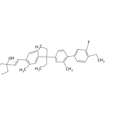 CCc1ccc(-c2ccc(C(CC)(CC)c3ccc(/C=C/C4(O)CCCC4)c(C)c3)cc2C)cc1F